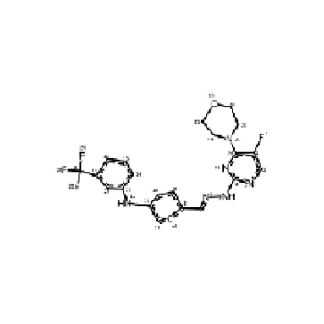 Fc1cnc(N/N=C/c2ccc(Nc3cccc(C(F)(F)F)c3)cc2)nc1N1CCOCC1